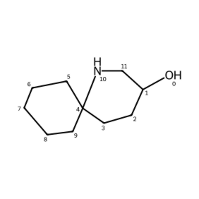 OC1CCC2(CCCCC2)NC1